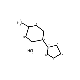 Cl.NC1CCC(N2CCCC2)CC1